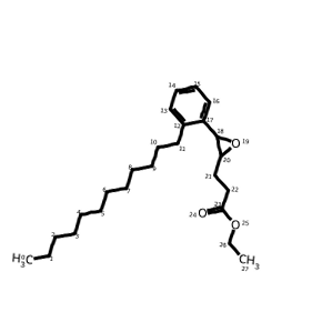 CCCCCCCCCCCCc1ccccc1C1OC1CCC(=O)OCC